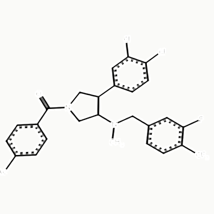 CC(=O)c1ccc(C(=O)N2CC(c3ccc(Cl)c(Cl)c3)C(N(C)Cc3ccc(C(F)(F)F)c(F)c3)C2)cc1